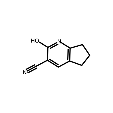 N#Cc1cc2c(nc1O)CCC2